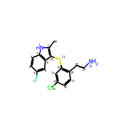 Cc1[nH]c2ccc(F)cc2c1Sc1cc(Cl)ccc1CCN